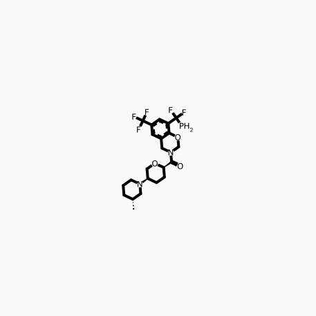 C[C@@H]1CCCN([C@@H]2CC[C@H](C(=O)N3COc4c(cc(C(F)(F)F)cc4C(F)(F)P)C3)OC2)C1